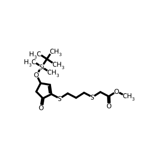 COC(=O)CSCCCSC1=CC(O[Si](C)(C)C(C)(C)C)CC1=O